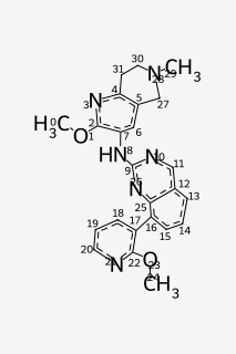 COc1nc2c(cc1Nc1ncc3cccc(-c4cccnc4OC)c3n1)CN(C)CC2